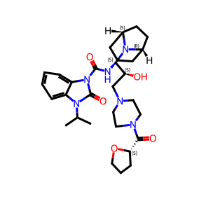 CC(C)n1c(=O)n(C(=O)N[C@@H]2C[C@H]3CC[C@@H](C2)N3C[C@@H](O)CN2CCN(C(=O)[C@@H]3CCCO3)CC2)c2ccccc21